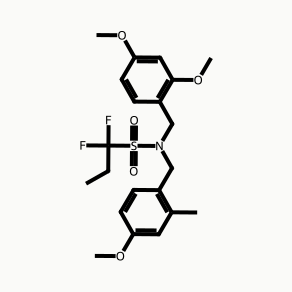 CCC(F)(F)S(=O)(=O)N(Cc1ccc(OC)cc1C)Cc1ccc(OC)cc1OC